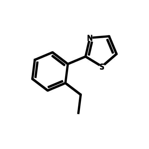 CCc1ccccc1-c1nccs1